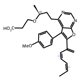 C=C(/C=C\C=C/C)c1oc2ncnc(CC[C@H](C)OCCC(=O)O)c2c1-c1ccc(OC)cc1